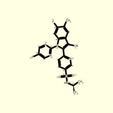 Cc1cc2c(C#N)c(-c3ccc(S(=O)(=O)N[C@@H](C)C(F)(F)F)cn3)n(-c3ncc(F)cn3)c2cc1F